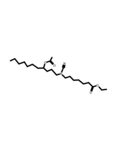 CCCCCCCC(CCCN(C#N)CCCCCCC(=O)OCC)OC(C)=O